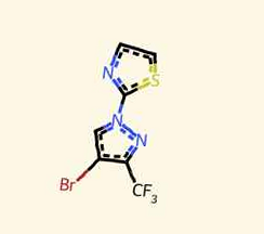 FC(F)(F)c1nn(-c2nccs2)cc1Br